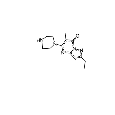 CCc1nn2c(=O)c(C)c(N3CCNCC3)nc2s1